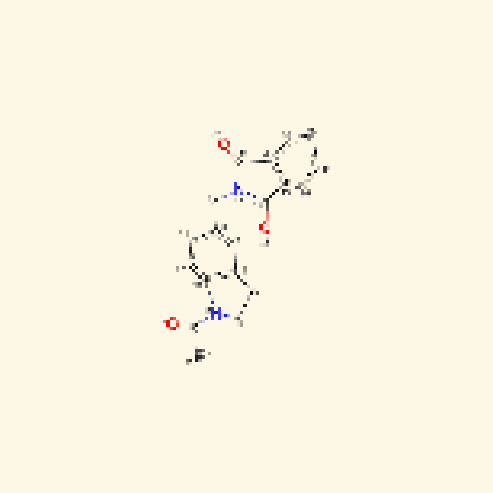 CC(C)C(=O)N1CCc2cc(CN3C(=O)c4ccccc4C3=O)ccc21